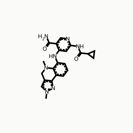 CN1Cc2cn(C)nc2-c2cccc(Nc3cc(NC(=O)C4CC4)ncc3C(N)=O)c21